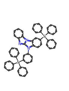 c1ccc([Si](c2ccccc2)(c2ccccc2)c2cccc(-n3c4ccc([Si](c5ccccc5)(c5ccccc5)c5ccccc5)cc4n4c5ccccc5nc34)c2)cc1